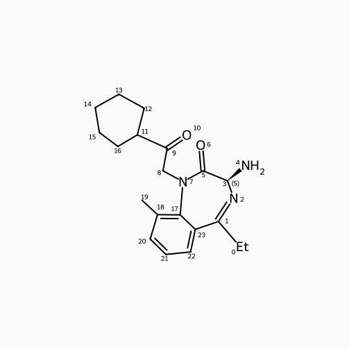 CCC1=N[C@H](N)C(=O)N(CC(=O)C2CCCCC2)c2c(C)cccc21